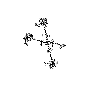 CC(=O)N[C@H]1[C@H](OCCCCCCNC(=O)CCOC2[C@H](OCCC(=O)NCCCCCCO[C@@H]3O[C@H](COC(C)=O)[C@H](OC(C)=O)[C@H](OC(C)=O)[C@H]3NC(C)=O)CC(C(=O)NCCCCCC(=O)O)C[C@H]2OCCC(=O)NCCCCCCO[C@@H]2O[C@H](COC(C)=O)[C@H](OC(C)=O)[C@H](OC(C)=O)[C@H]2NC(C)=O)O[C@H](COC(C)=O)[C@H](OC(C)=O)[C@@H]1OC(C)=O